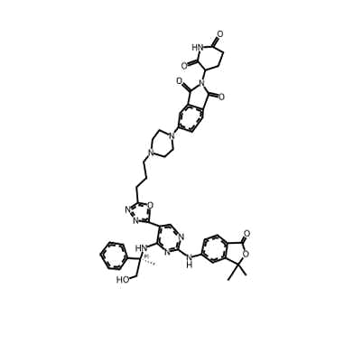 CC1(C)OC(=O)c2ccc(Nc3ncc(-c4nnc(CCCN5CCN(c6ccc7c(c6)C(=O)N(C6CCC(=O)NC6=O)C7=O)CC5)o4)c(N[C@@](C)(CO)c4ccccc4)n3)cc21